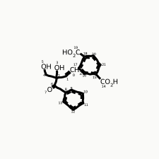 C=CC(O)(CO)C(=O)c1ccccc1.O=C(O)c1ccc(C(=O)O)cc1